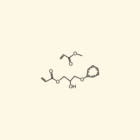 C=CC(=O)OC.C=CC(=O)OCC(O)COc1ccccc1